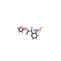 CONc1ccccc1C(C)C(=O)Oc1ccno1